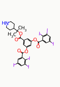 CC(C)(OC(=O)c1cc(OC(=O)c2cc(I)cc(I)c2I)cc(OC(=O)c2cc(I)cc(I)c2I)c1)C1CCNCC1